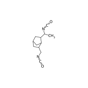 CC(N=C=O)C1CC2CC(CN=C=O)C1C2